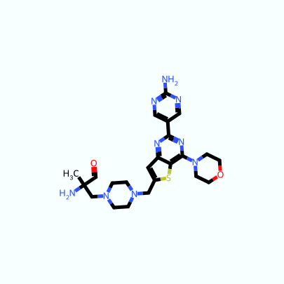 CC(N)(C=O)CN1CCN(Cc2cc3nc(-c4cnc(N)nc4)nc(N4CCOCC4)c3s2)CC1